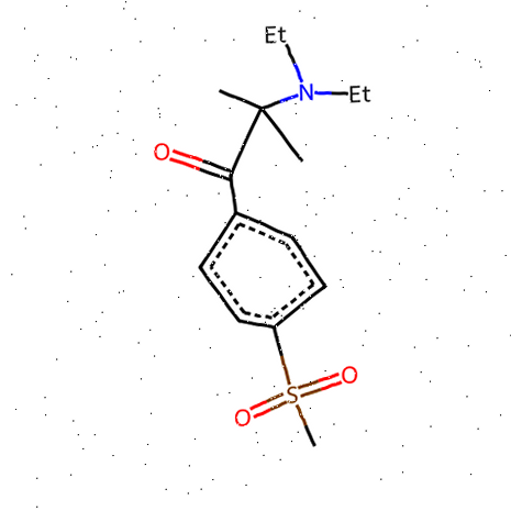 CCN(CC)C(C)(C)C(=O)c1ccc(S(C)(=O)=O)cc1